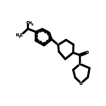 CC(C)c1ccc(N2CCC(C(=O)N3CCOCC3)CC2)cc1